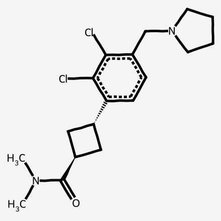 CN(C)C(=O)[C@H]1C[C@H](c2ccc(CN3CCCC3)c(Cl)c2Cl)C1